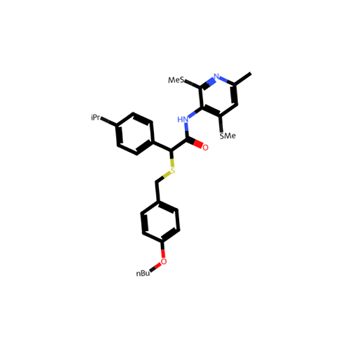 CCCCOc1ccc(CSC(C(=O)Nc2c(SC)cc(C)nc2SC)c2ccc(C(C)C)cc2)cc1